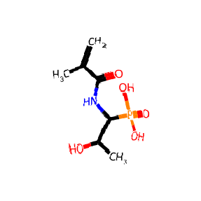 C=C(C)C(=O)NC(C(C)O)P(=O)(O)O